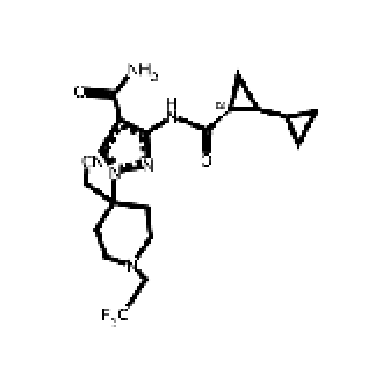 N#CCC1(n2cc(C(N)=O)c(NC(=O)[C@H]3CC3C3CC3)n2)CCN(CC(F)(F)F)CC1